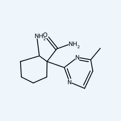 Cc1ccnc(C2(C(N)=O)CCCCC2N)n1